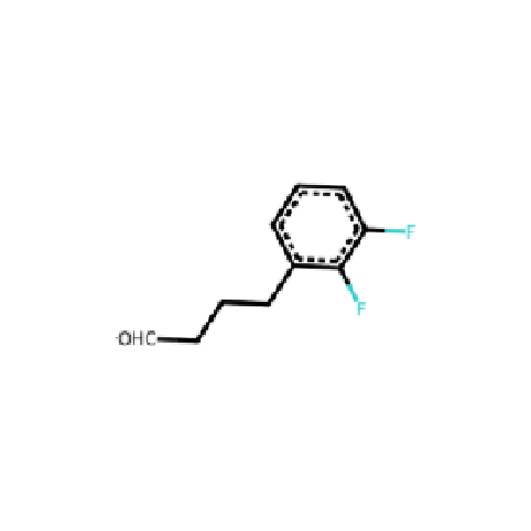 O=[C]CCCc1cccc(F)c1F